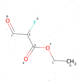 CCOC(=O)C(F)C=O